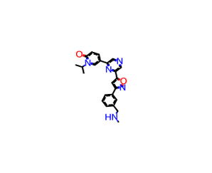 CNCc1cccc(-c2cc(-c3cncc(-c4ccc(=O)n(C(C)C)c4)n3)on2)c1